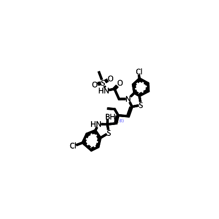 BC1(/C=C(/C=C2Sc3ccc(Cl)cc3N2CC(=O)NS(C)(=O)=O)CC)Nc2cc(Cl)ccc2S1